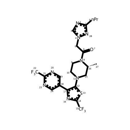 CCCc1ncn(CC(=O)N2CCN(c3sc(C(F)(F)F)nc3-c3cnc(C(F)(F)F)nc3)C[C@H]2C)n1